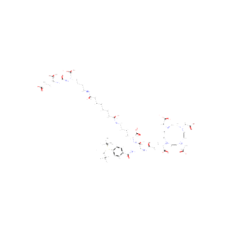 CC(C)(C)[C@H](F)[S+](c1ccc(C(=O)NC[C@@H](NC(=O)CC[C@H](C(=O)O)N2CCN(CC(=O)[O-])CCN(CC(=O)O)CCN(CC(=O)O)CC2)C(=O)N[C@@H](CCCCNC(=O)CCCCCCC(=O)NCCCC[C@H](NC(=O)N[C@@H](CCC(=O)O)C(=O)O)C(=O)O)C(=O)O)cc1)C(C)(C)C